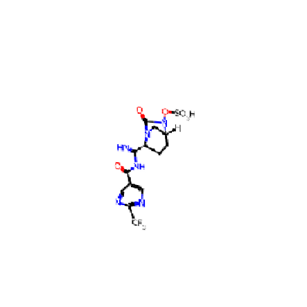 N=C(NC(=O)c1cnc(C(F)(F)F)nc1)[C@@H]1CC[C@@H]2CN1C(=O)N2OS(=O)(=O)O